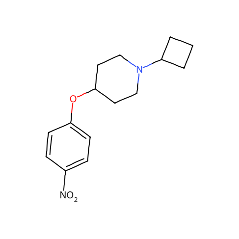 O=[N+]([O-])c1ccc(OC2CCN(C3CCC3)CC2)cc1